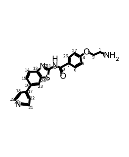 NCCOc1ccc(C(=O)Nc2nc3ccc(-c4ccncc4)cc3s2)cc1